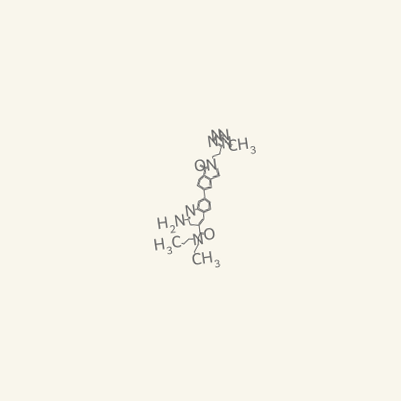 CCCN(CCC)C(=O)C1=Cc2ccc(-c3ccc4c(=O)n(CCc5nnnn5C)ccc4c3)cc2N=C(N)C1